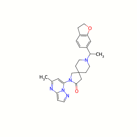 Cc1cc(N2CC3(CCN(C(C)c4ccc5c(c4)OCC5)CC3)CC2=O)n2nccc2n1